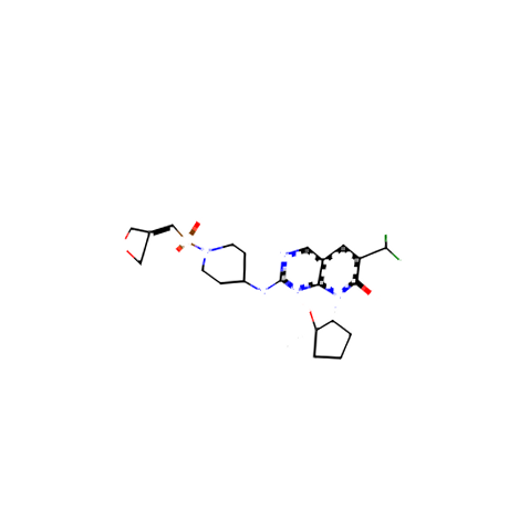 C[C@@]1(O)CCC[C@H]1n1c(=O)c(C(F)F)cc2cnc(NC3CCN(S(=O)(=O)C=C4COC4)CC3)nc21